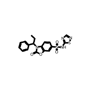 CCC(c1ccccc1)n1c(=O)oc2cc(S(=O)(=O)Nc3ncns3)ccc21